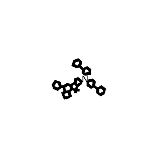 CC1(C)c2cc(N(c3ccc(-c4ccccc4)cc3)c3cccc(-c4ccccc4)c3)ccc2-c2cc(-c3ccccc3)c3ccccc3c21